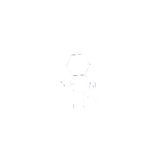 O=S(=O)(O)NC1CCCSC1.[NaH]